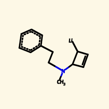 [Li][CH]1C=CC1N(C)CCc1ccccc1